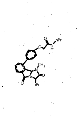 CCCNC(=O)COc1ccc(-c2cccc3c2C2N(C)C(=O)C(C(C)C)N2C3=O)cc1